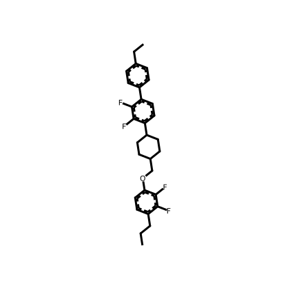 CCCc1ccc(OCC2CCC(c3ccc(-c4ccc(CC)cc4)c(F)c3F)CC2)c(F)c1F